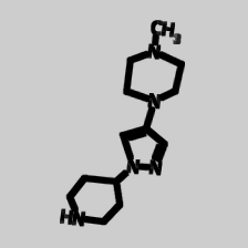 CN1CCN(c2cnn(C3CCNCC3)c2)CC1